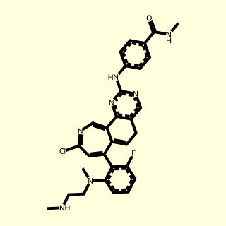 CNCCN(C)c1cccc(F)c1C1=CC(Cl)=NC=C2C1=CCc1cnc(Nc3ccc(C(=O)NC)cc3)nc12